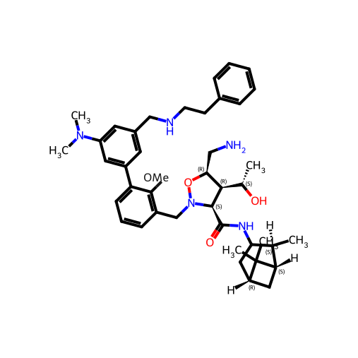 COc1c(CN2O[C@@H](CN)[C@@H]([C@H](C)O)[C@H]2C(=O)NC2C[C@H]3C[C@@H]([C@@H]2C)C3(C)C)cccc1-c1cc(CNCCc2ccccc2)cc(N(C)C)c1